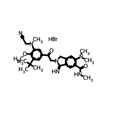 Br.CNC(=O)c1cc2c(cc1N(C)C)CN(CC(=O)c1cc(N(C)CC#N)c(OC)c(C(C)(C)C)c1)C2=N